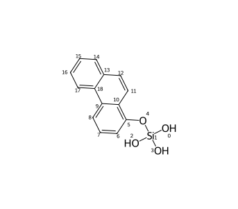 O[Si](O)(O)Oc1cccc2c1ccc1ccccc12